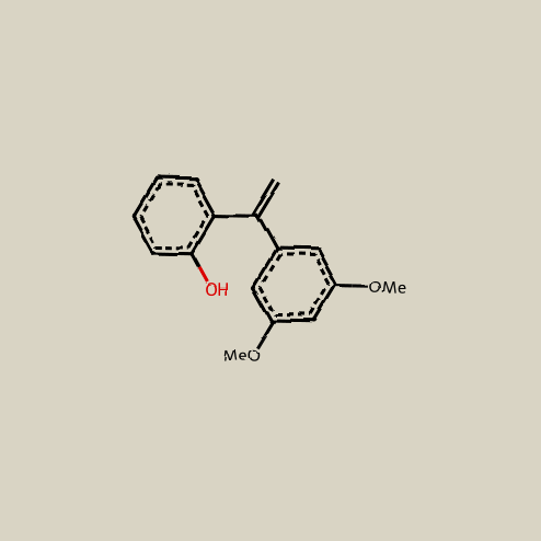 C=C(c1cc(OC)cc(OC)c1)c1ccccc1O